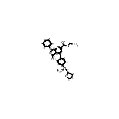 CCOC(=O)c1cc(-c2ccc(N(C)C[C@@H]3CCCO3)cc2)c2c(C)nn(-c3ccccc3)c2n1